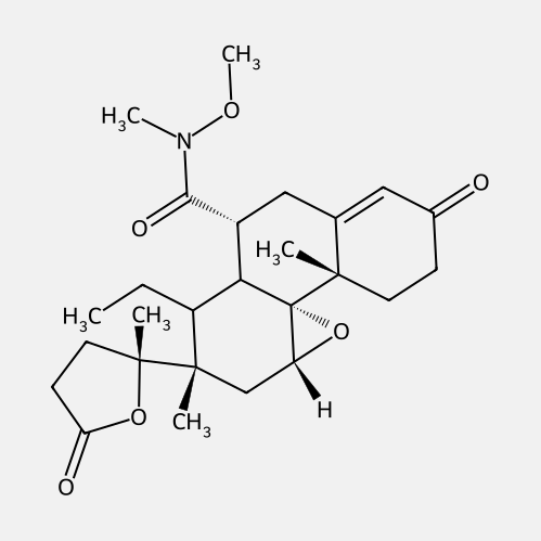 CCC1C2[C@H](C(=O)N(C)OC)CC3=CC(=O)CC[C@]3(C)[C@]23O[C@@H]3C[C@]1(C)[C@@]1(C)CCC(=O)O1